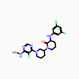 CCCNc1ncnc(N2CCCC(N3CCCC(Nc4cc(F)cc(Cl)c4)C3=O)C2)c1F